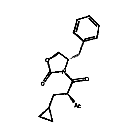 CC(=O)[C@@H](CC1CC1)C(=O)N1C(=O)OC[C@@H]1Cc1ccccc1